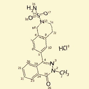 Cl.Cn1nc(-c2ccc3c(c2)CCN(S(N)(=O)=O)C3)c2ccccc2c1=O